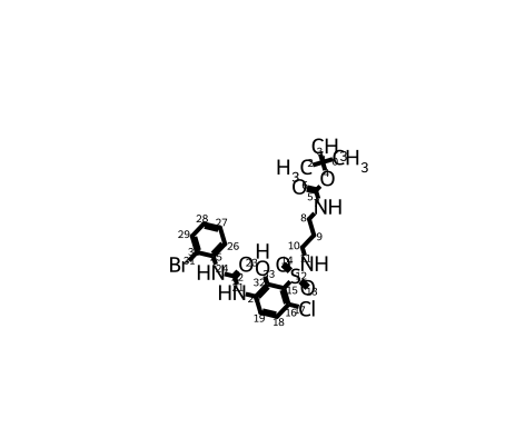 CC(C)(C)OC(=O)NCCCNS(=O)(=O)c1c(Cl)ccc(NC(=O)Nc2ccccc2Br)c1O